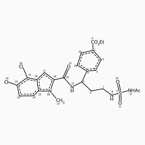 CCOC(=O)c1ccc(C(CCNS(=O)(=O)NC(C)=O)NC(=O)c2cc3c(Cl)c(Cl)ccc3n2C)cc1